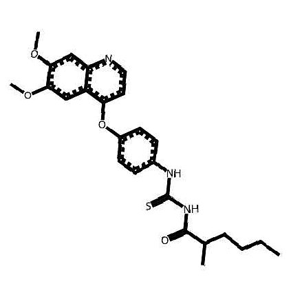 CCCCC(C)C(=O)NC(=S)Nc1ccc(Oc2ccnc3cc(OC)c(OC)cc23)cc1